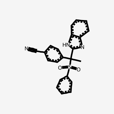 CC(c1ccc(C#N)cc1)(c1nc2ccccc2[nH]1)S(=O)(=O)c1ccccc1